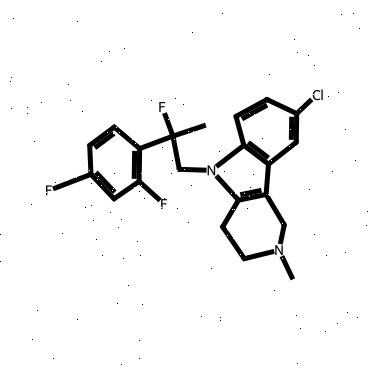 CN1CCc2c(c3cc(Cl)ccc3n2CC(C)(F)c2ccc(F)cc2F)C1